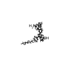 CCOCCOCCOc1cnc(-c2cc(-c3ccc(F)c([C@]4(C)C[C@@H](C(F)(F)F)N=C(N)O4)c3)on2)cn1.O=C(O)C(F)(F)F